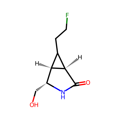 O=C1N[C@H](CO)[C@H]2C(CCF)[C@@H]12